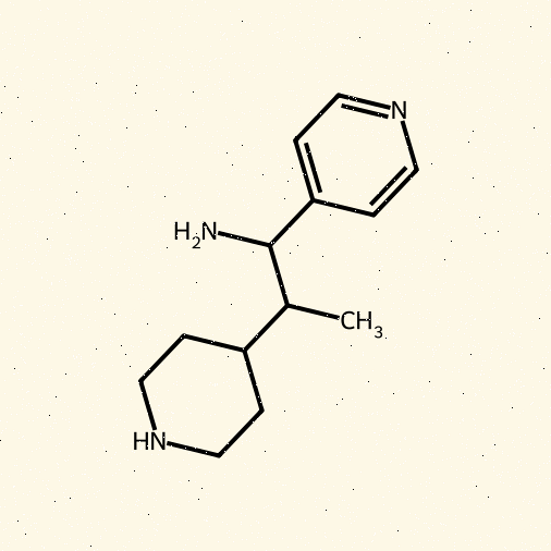 CC(C1CCNCC1)C(N)c1ccncc1